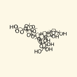 CC(=O)O[C@@H]1[C@@H](OC(C)=O)[C@H](O[C@H]2CC[C@]34C[C@]35CC[C@]3(C)[C@@H]([C@@]6(C)CC[C@@H](C(C)(C)O)O6)[C@@H](O)C[C@@]3(C)[C@@H]5C[C@H](O[C@@H]3O[C@H](CO)[C@@H](O)[C@H](O)[C@H]3O)[C@H]4C2(C)C)OC[C@H]1OC(=O)CC(=O)O